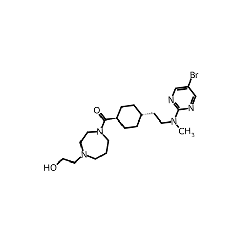 CN(CC[C@H]1CC[C@H](C(=O)N2CCCN(CCO)CC2)CC1)c1ncc(Br)cn1